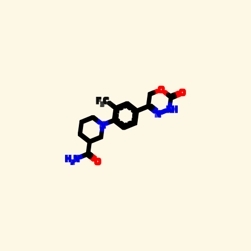 NC(=O)C1CCCN(c2ccc(C3=NNC(=O)OC3)cc2C(F)(F)F)C1